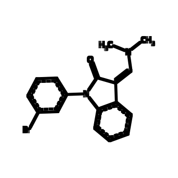 CN(C)/C=C1\C(=O)N(c2cccc(Br)c2)c2ccccc21